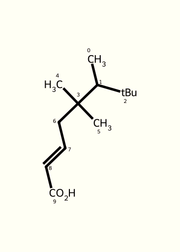 CC(C(C)(C)C)C(C)(C)CC=CC(=O)O